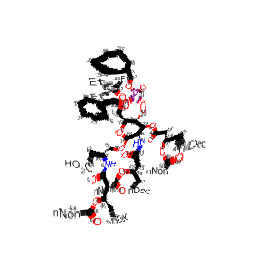 CCCCCCCCCCC[C@H](CC(=O)N[C@@H](CO[C@H]1O[C@@H](CO[Si](CC)(CC)CC)[C@H](OP(=O)(OCc2ccccc2)OCc2ccccc2)[C@@H](OC(=O)C[C@@H](CCCCCCCCCCC)OC(=O)CCCCCCCCC)[C@@H]1NC(=O)C[C@@H](CCCCCCCCCCC)OC(=O)CCCCCCCCC)CC(=O)O)OC(=O)CCCCCCCCC